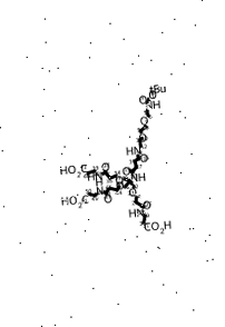 CC(C)(C)OC(=O)NCCOCCOCCNC(=O)CCC(=O)NC(COCCC(=O)NCCC(=O)O)(COCCC(=O)NCCC(=O)O)COCCC(=O)NCCC(=O)O